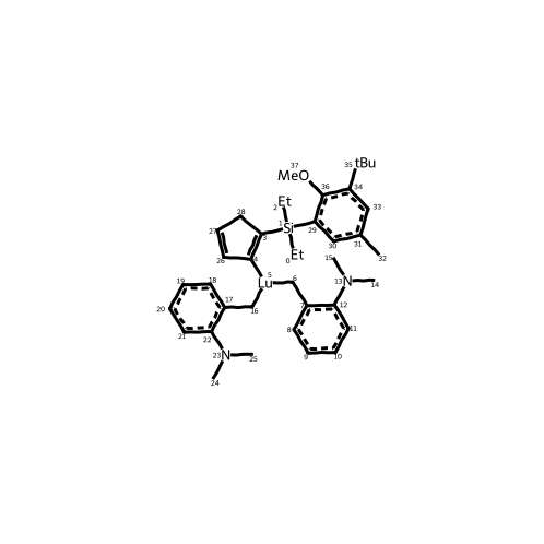 CC[Si](CC)(C1=[C]([Lu]([CH2]c2ccccc2N(C)C)[CH2]c2ccccc2N(C)C)C=CC1)c1cc(C)cc(C(C)(C)C)c1OC